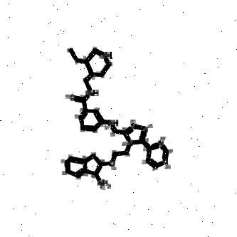 CCC1CNCCC1CNC(=O)c1cccc(NCc2nnc(-c3ccncn3)n2CCOC2Cc3ccccc3C2N)c1